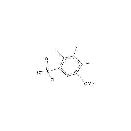 COc1cc(S(=O)(=O)Cl)c(C)c(C)c1C